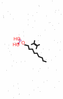 CC(C)=C(C)C.CCCCCCCCCCOP(O)O